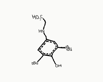 CC(C)(C)c1cc(NCC(=O)O)cc(C(C)(C)C)c1O